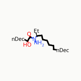 CCCCCCCCCCCCCCCC[C@H](CC)N(N)C(=O)C(O)CCCCCCCCCC